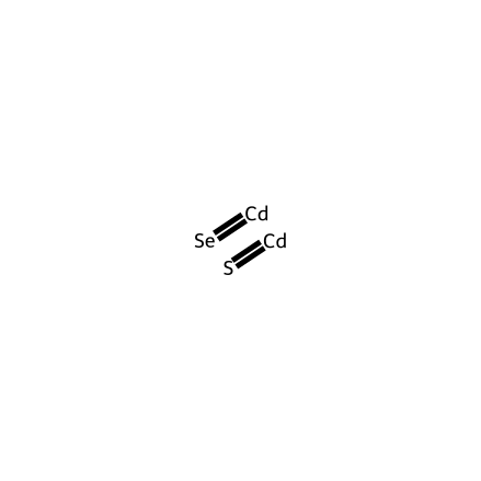 [S]=[Cd].[Se]=[Cd]